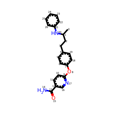 CC(CCc1ccc(Oc2ccc(C(N)=O)cn2)cc1)Nc1ccccc1